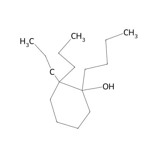 CCCCC1(O)CCCCC1(CCC)CCC